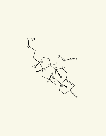 COC(=O)[C@@H]1CC2=CC(=O)CC[C@]2(C)[C@@]23O[C@@H]2C[C@@]2(C)[C@@H](CC[C@@]2(O)CCOC(=O)O)[C@H]13